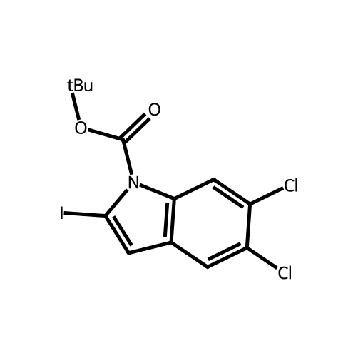 CC(C)(C)OC(=O)n1c(I)cc2cc(Cl)c(Cl)cc21